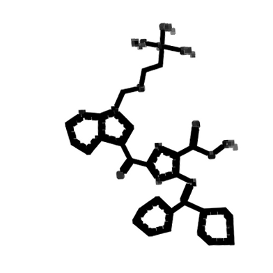 COC(=O)c1nc(C(=O)c2cn(COCC[Si](C)(C)C)c3ncccc23)sc1N=C(c1ccccc1)c1ccccc1